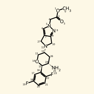 COC(=O)Cn1cc2c(n1)CN([C@H]1CO[C@H](c3cc(F)ccc3F)[C@@H](N)C1)C2